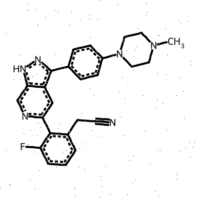 CN1CCN(c2ccc(-c3n[nH]c4cnc(-c5c(F)cccc5CC#N)cc34)cc2)CC1